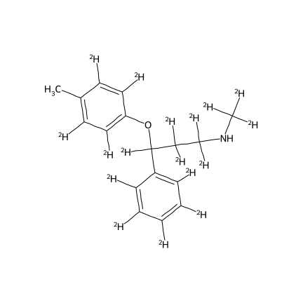 [2H]c1c([2H])c([2H])c(C([2H])(Oc2c([2H])c([2H])c(C)c([2H])c2[2H])C([2H])([2H])C([2H])([2H])NC([2H])([2H])[2H])c([2H])c1[2H]